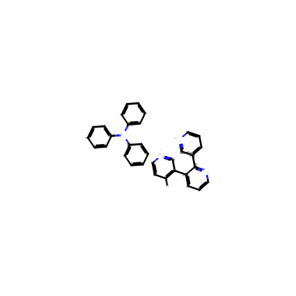 O=Cc1ccnc(C=O)c1-c1cccnc1-c1cccnc1.c1ccc(N(c2ccccc2)c2ccccc2)cc1